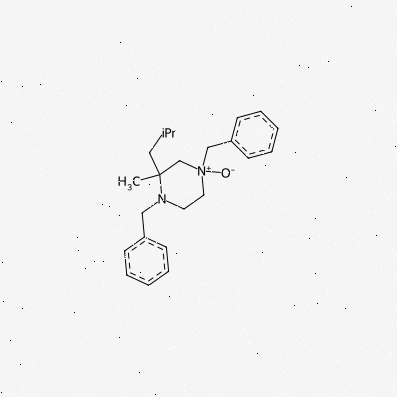 CC(C)CC1(C)C[N+]([O-])(Cc2ccccc2)CCN1Cc1ccccc1